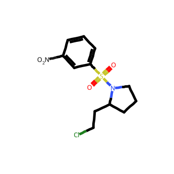 O=[N+]([O-])c1cccc(S(=O)(=O)N2CCCC2CCCl)c1